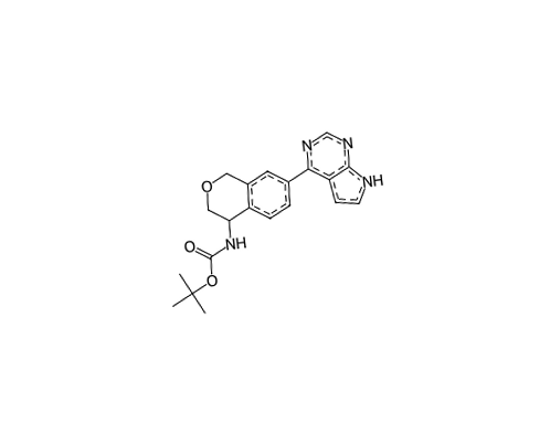 CC(C)(C)OC(=O)NC1COCc2cc(-c3ncnc4[nH]ccc34)ccc21